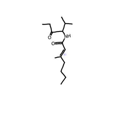 CCCC/C(C)=C/C(=O)NC(C(=O)CC)C(C)C